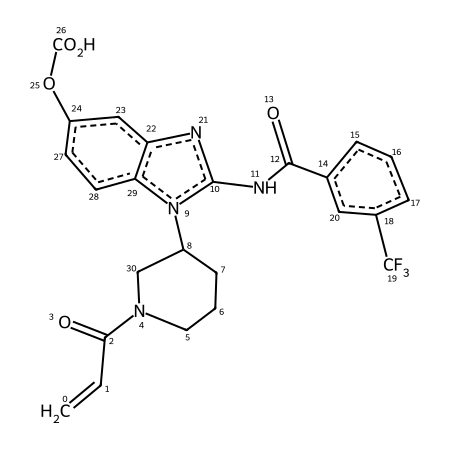 C=CC(=O)N1CCCC(n2c(NC(=O)c3cccc(C(F)(F)F)c3)nc3cc(OC(=O)O)ccc32)C1